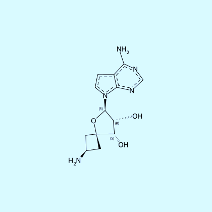 Nc1ncnc2c1ccn2[C@@H]1O[C@]2(C[C@@H](N)C2)[C@@H](O)[C@H]1O